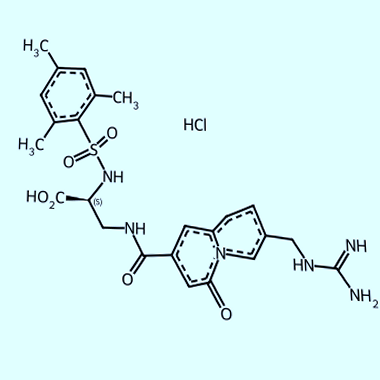 Cc1cc(C)c(S(=O)(=O)N[C@@H](CNC(=O)c2cc(=O)n3cc(CNC(=N)N)ccc3c2)C(=O)O)c(C)c1.Cl